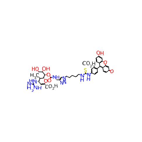 C[C@H]1[C@H]([C@H](OC(=O)NCc2cn(CCCCCNC(=S)Nc3ccc(-c4c5ccc(=O)cc-5oc5cc(O)ccc45)c(C(=O)O)c3)nn2)[C@H](O)CO)OC(C(=O)O)=C[C@@H]1NC(=N)N